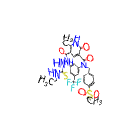 CCNC(=S)NNC(=O)c1cc(C(=O)N(Cc2ccc(S(C)(=O)=O)cc2)c2cccc(C(F)(F)F)c2)c(=O)[nH]c1C